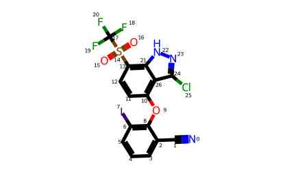 N#Cc1cccc(I)c1Oc1ccc(S(=O)(=O)C(F)(F)F)c2[nH]nc(Cl)c12